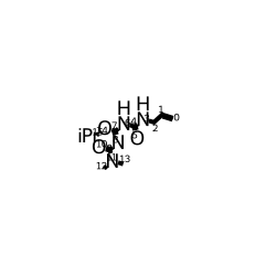 C=CCNC(=O)NC(=NC(=O)N(C)C)OC(C)C